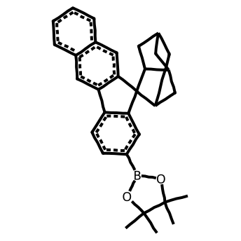 CC1(C)OB(c2ccc3c(c2)C2(c4cc5ccccc5cc4-3)C3CC4CC(C3)C2C4)OC1(C)C